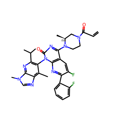 C=CC(=O)N1CCN(c2nc(=O)n(-c3c(C(C)C)nc4c(ncn4C)c3C)c3nc(-c4ccccc4F)c(F)cc23)[C@@H](C)C1